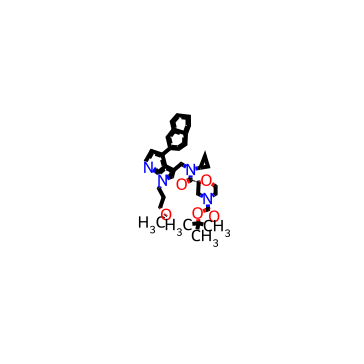 COCCCn1cc(CN(C(=O)[C@H]2CN(C(=O)OC(C)(C)C)CCO2)C2CC2)c2c(-c3ccc4ccccc4c3)ccnc21